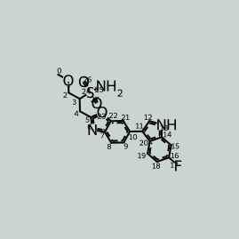 COCC(Cc1nc2ccc(-c3c[nH]c4cc(F)ccc34)cc2o1)S(N)(=O)=O